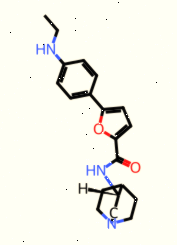 CCNc1ccc(-c2ccc(C(=O)N[C@H]3CN4CCC3CC4)o2)cc1